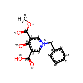 COC(=O)c1cn(Cc2ccccc2)cc(C(=O)O)c1=O